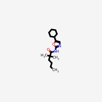 CCCCC(C)(C)C(=O)Nc1ncc(C2CCCCC2)o1